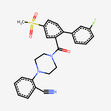 CS(=O)(=O)c1ccc(-c2cccc(F)c2)c(C(=O)N2CCN(c3ccccc3C#N)CC2)c1